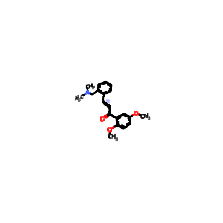 COc1ccc(OC)c(C(=O)/C=C/c2ccccc2CN(C)C)c1